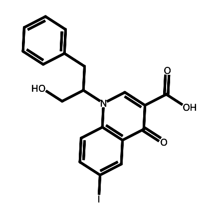 O=C(O)c1cn(C(CO)Cc2ccccc2)c2ccc(I)cc2c1=O